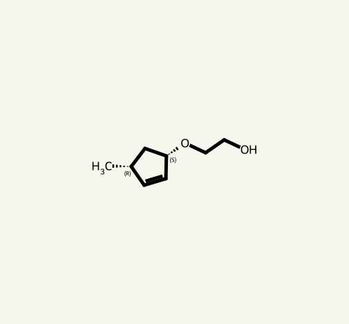 C[C@H]1C=C[C@@H](OCCO)C1